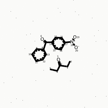 CCC(=O)CC.O=C(c1ccccc1)c1ccc([N+](=O)[O-])cc1